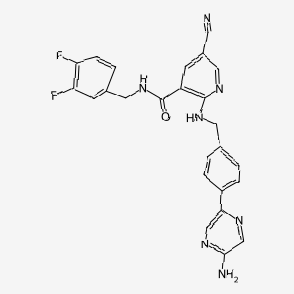 N#Cc1cnc(NCc2ccc(-c3cnc(N)cn3)cc2)c(C(=O)NCc2ccc(F)c(F)c2)c1